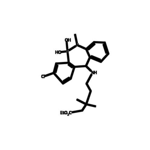 CCOC(=O)CC(C)(C)CCNC1c2ccccc2N(C)S(O)(O)c2cc(Cl)ccc21